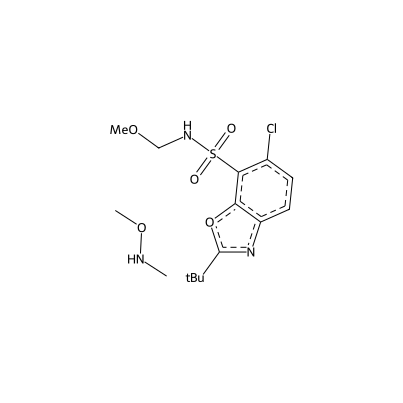 CNOC.COCNS(=O)(=O)c1c(Cl)ccc2nc(C(C)(C)C)oc12